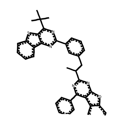 CC(Cc1cccc(-c2nc(C(C)(C)C)c3sc4ccccc4c3n2)c1)c1nc(-c2ccccc2)c2c(n1)oc1ccccc12